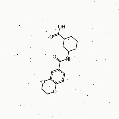 O=C(NC1CCCC(C(=O)O)C1)c1ccc2c(c1)OCCO2